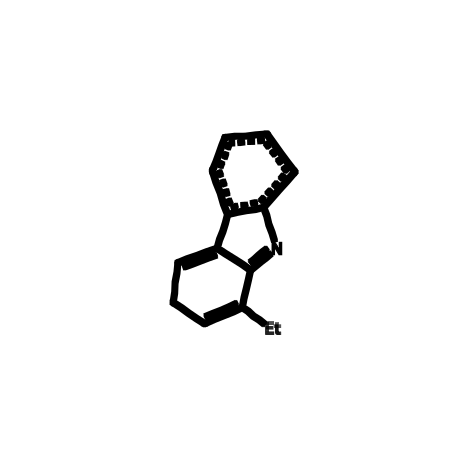 CCC1=CCC=C2C1=Nc1ccccc12